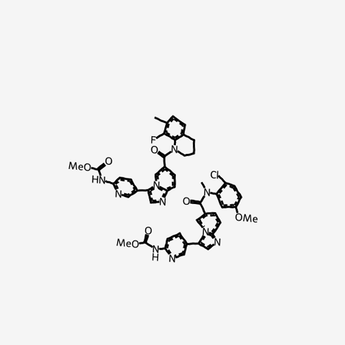 COC(=O)Nc1ccc(-c2cnc3ccc(C(=O)N(C)c4cc(OC)ccc4Cl)cn23)cn1.COC(=O)Nc1ccc(-c2cnc3ccc(C(=O)N4CCCc5ccc(C)c(F)c54)cn23)cn1